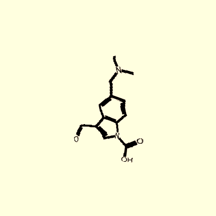 CN(C)Cc1ccc2c(c1)c(C=O)cn2C(=O)O